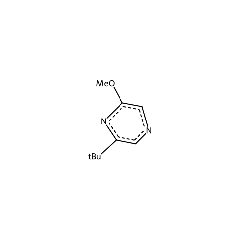 COc1cncc(C(C)(C)C)n1